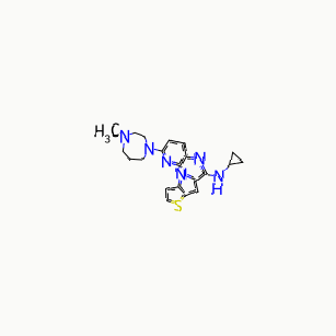 CN1CCCN(c2ccc3nc(NC4CC4)c4cc5sccc5n4c3n2)CC1